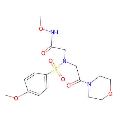 CONC(=O)CN(CC(=O)N1CCOCC1)S(=O)(=O)c1ccc(OC)cc1